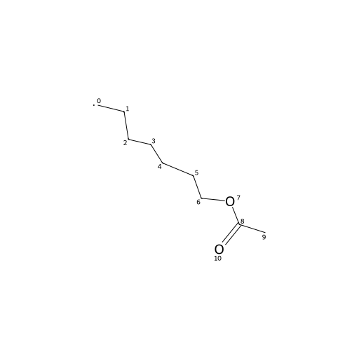 [CH2]CCCCCCOC(C)=O